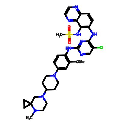 COc1cc(N2CCC(N3CCN(C)C4(CC4)C3)CC2)ccc1Nc1ncc(Cl)c(Nc2ccc3nccnc3c2NS(C)(=O)=O)n1